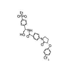 CCS(=O)(=O)c1ccc([C@H](CO)NC(=O)c2ccc(N3CC[C@H](Oc4ccc(C(F)(F)F)cc4)C3=O)cc2)cc1